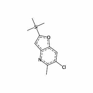 Cc1nc2cc([Si](C)(C)C)oc2cc1Cl